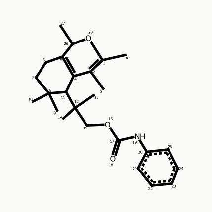 CC1=C(C)C2=C(CCC(C)(C)C2C(C)(C)COC(=O)Nc2ccccc2)C(C)O1